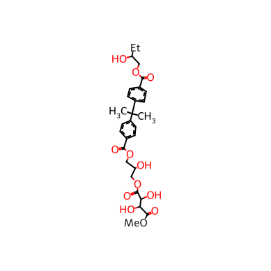 CCC(O)COC(=O)c1ccc(C(C)(C)c2ccc(C(=O)OCC(O)COC(=O)C(O)C(O)C(=O)OC)cc2)cc1